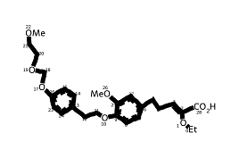 CCO/C(=C\CCc1ccc(OCCc2ccc(OCOCCOC)cc2)c(OC)c1)C(=O)O